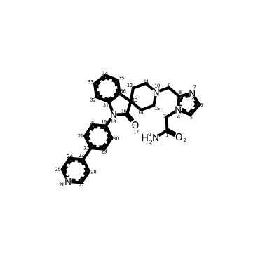 NC(=O)Cn1ccnc1CN1CCC2(CC1)C(=O)N(c1ccc(-c3ccncc3)cc1)c1ccccc12